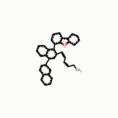 CC/C=C\C=C/c1cc(-c2ccc3ccccc3c2)c2ccccc2c1-c1cccc2c1oc1ccccc12